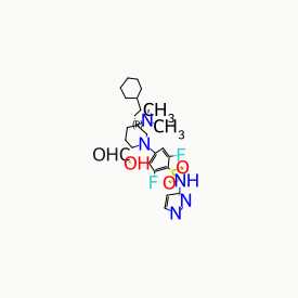 CN(C)[C@]1(CCC2CCCCC2)CCCN(c2cc(F)c(S(=O)(=O)Nc3ccncn3)c(F)c2)C1.O=CO